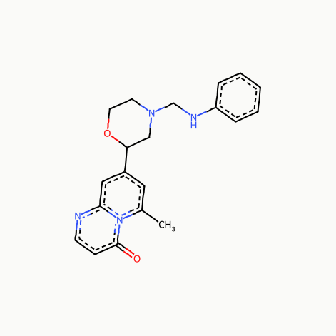 Cc1cc(C2CN(CNc3ccccc3)CCO2)cc2nccc(=O)n12